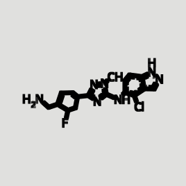 Cn1nc(C2=CC=C(CN)C(F)C2)nc1Nc1ccc2[nH]ncc2c1Cl